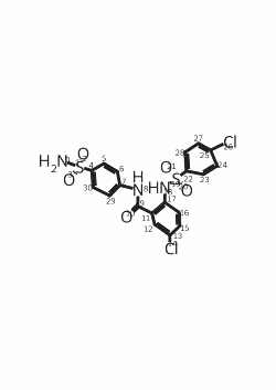 NS(=O)(=O)c1ccc(NC(=O)c2cc(Cl)ccc2NS(=O)(=O)c2ccc(Cl)cc2)cc1